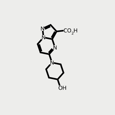 O=C(O)c1cnn2ccc(N3CCC(O)CC3)nc12